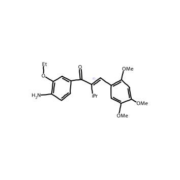 CCOc1cc(C(=O)/C(=C/c2cc(OC)c(OC)cc2OC)C(C)C)ccc1N